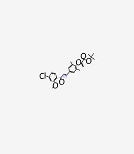 C=C(Oc1c(C)cc(/C=C/C(=O)c2ccc(Cl)cc2OC)cc1C)C(=O)OC(C)(C)C